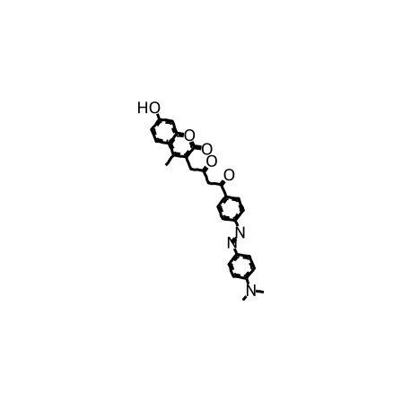 Cc1c(CC(=O)CC(=O)c2ccc(N=Nc3ccc(N(C)C)cc3)cc2)c(=O)oc2cc(O)ccc12